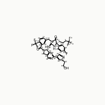 N=C1N[C@](CCCC(F)(F)F)(c2ccc(F)cc2)C(=O)N1Cc1ccc(C(F)(F)F)c(C(=O)N2Cc3cnc(-c4cnn(CCO)c4)nc3C2)c1